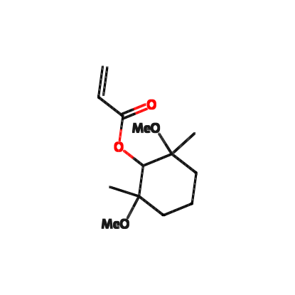 C=CC(=O)OC1C(C)(OC)CCCC1(C)OC